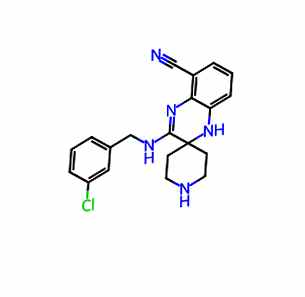 N#Cc1cccc2c1N=C(NCc1cccc(Cl)c1)C1(CCNCC1)N2